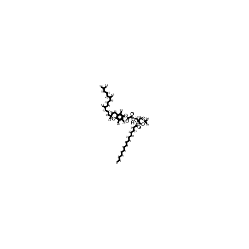 CCCCCCCCCCCCCCCC(=O)NC1(COC(=O)C(=O)Oc2c(C)c(C)c3c(c2C)CCC(C)(CCCC(C)CCCC(C)CCCC(C)C)O3)COC(C)(C)OC1